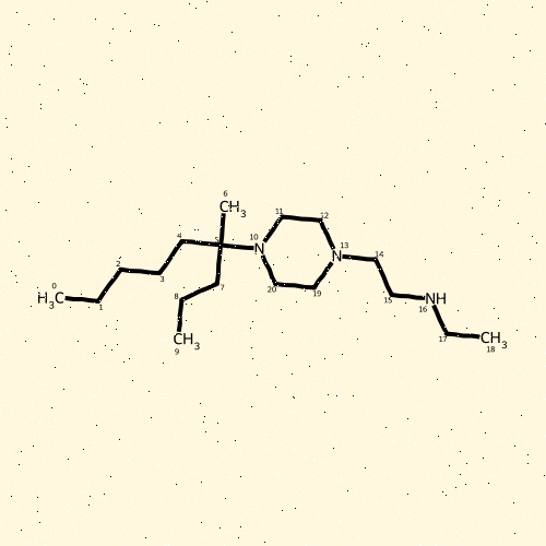 CCCCCC(C)(CCC)N1CCN(CCNCC)CC1